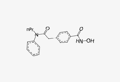 CCCN(C(=O)Cc1ccc(C(=O)NO)cc1)c1ccccc1